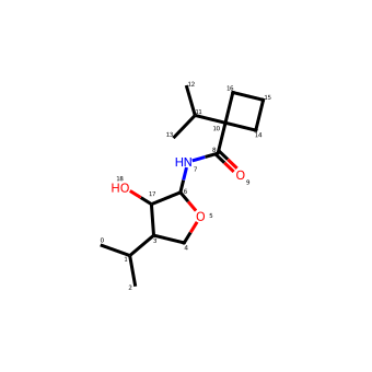 CC(C)C1COC(NC(=O)C2(C(C)C)CCC2)C1O